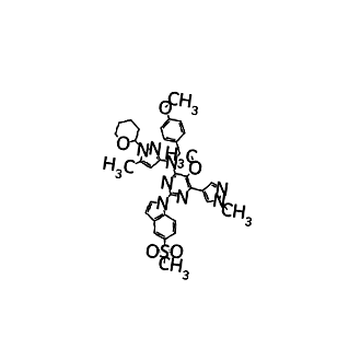 COc1ccc(CN(c2cc(C)n(C3CCCCO3)n2)c2nc(-n3ccc4cc(S(C)(=O)=O)ccc43)nc(-c3cnn(C)c3)c2OC)cc1